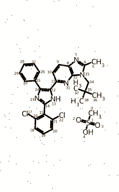 CS(=O)(=O)O.Cc1nc2ccc(-c3[nH]c(-c4c(Cl)cccc4Cl)nc3-c3ccccc3)nc2n1CC(C)(C)C